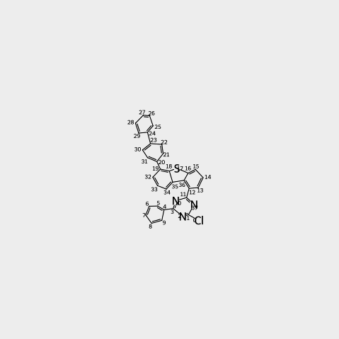 Clc1nc(-c2ccccc2)nc(-c2cccc3sc4c(-c5ccc(-c6ccccc6)cc5)cccc4c23)n1